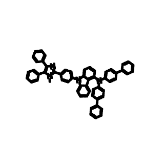 Cn1c(-c2ccc(-n3c4ccccc4c4c(N(c5ccc(-c6ccccc6)cc5)c5ccc(-c6ccccc6)cc5)cccc43)cc2)nc(-c2ccccc2)c1-c1ccccc1